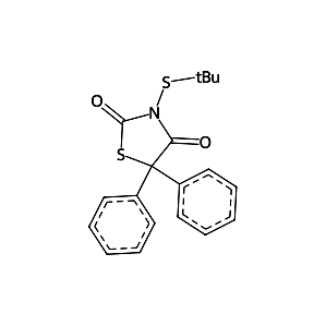 CC(C)(C)SN1C(=O)SC(c2ccccc2)(c2ccccc2)C1=O